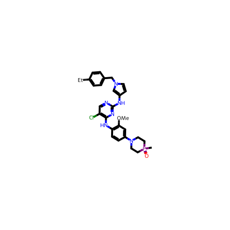 CCc1ccc(Cn2ccc(Nc3ncc(Cl)c(Nc4ccc(N5CCP(C)(=O)CC5)cc4OC)n3)c2)cc1